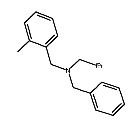 Cc1ccccc1CN(Cc1ccccc1)CC(C)C